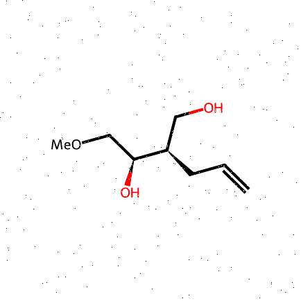 C=CC[C@H](CO)[C@@H](O)COC